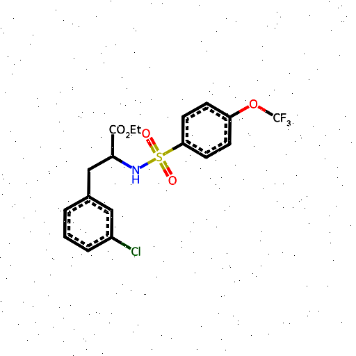 CCOC(=O)C(Cc1cccc(Cl)c1)NS(=O)(=O)c1ccc(OC(F)(F)F)cc1